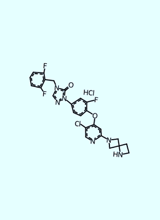 Cl.O=c1n(Cc2c(F)cccc2F)cnn1-c1ccc(Oc2cc(N3CC4(CCN4)C3)ncc2Cl)c(F)c1